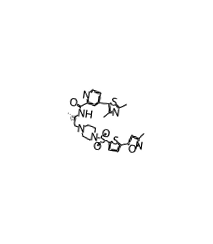 Cc1cc(-c2ccc(S(=O)(=O)N3CCN(C[C@H](C)NC(=O)c4cc(-c5sc(C)nc5C)ccn4)CC3)s2)on1